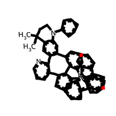 CC1(C)CCN(c2ccccc2)c2cc3c(cc21)-c1ncccc1-c1cccc(-n2c4ccccc4c4ccccc42)c1-c1c-3cccc1-n1c2ccccc2c2ccccc21